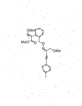 COC/C(C#Cc1ccc(C)cc1)=N\OCc1ccccc1/C(=N\OC)C(=O)OC